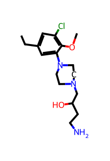 CCc1cc(Cl)c(OC)c(N2CCN(CC(O)CCN)CC2)c1